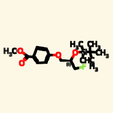 COC(=O)c1ccc(OC[C@H](CF)O[Si](C)(C)C(C)(C)C)cc1